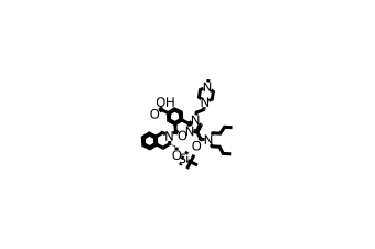 CCCCN(CCCC)C(=O)c1cn(CCN2CCN(C)CC2)c(-c2ccc(C(=O)O)cc2C(=O)N2Cc3ccccc3C[C@H]2CO[Si](C)(C)C(C)(C)C)n1